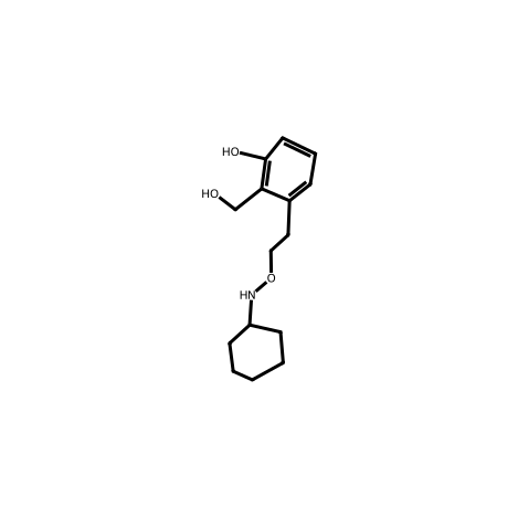 OCc1c(O)cccc1CCONC1CCCCC1